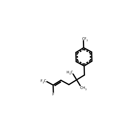 CC(C)(CC=C(F)C(F)(F)F)Cc1ccc(C(F)(F)F)cc1